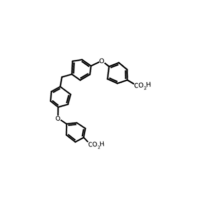 O=C(O)c1ccc(Oc2ccc(Cc3ccc(Oc4ccc(C(=O)O)cc4)cc3)cc2)cc1